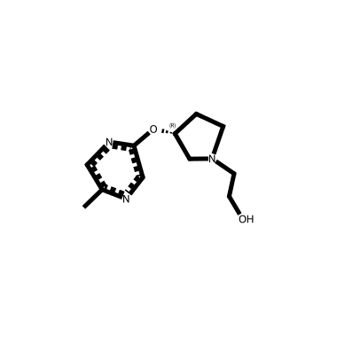 Cc1cnc(O[C@@H]2CCN(CCO)C2)cn1